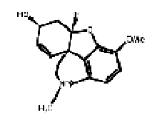 COc1ccc2c3c1O[C@H]1C[C@H](O)C=C[C@@]31CC[N+](C)=C2